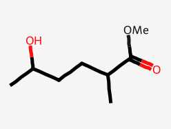 COC(=O)C(C)CCC(C)O